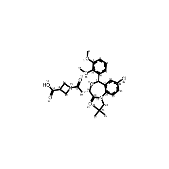 COc1cccc([C@@H]2O[C@@H](CC(=O)N3CC(C(=O)O)C3)C(=O)N(CC(C)(C)C)c3ccc(Cl)cc32)c1OC